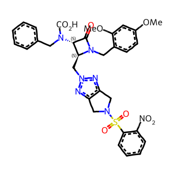 COc1ccc(CN2C(=O)[C@@H](N(Cc3ccccc3)C(=O)O)[C@@H]2Cn2nc3c(n2)CN(S(=O)(=O)c2ccccc2[N+](=O)[O-])C3)c(OC)c1